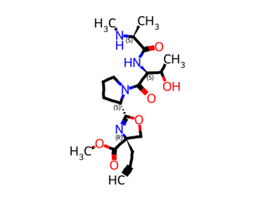 C#CC[C@]1(C(=O)OC)COC([C@@H]2CCCN2C(=O)[C@@H](NC(=O)[C@H](C)NC)C(C)O)=N1